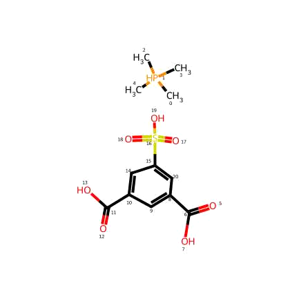 C[PH](C)(C)C.O=C(O)c1cc(C(=O)O)cc(S(=O)(=O)O)c1